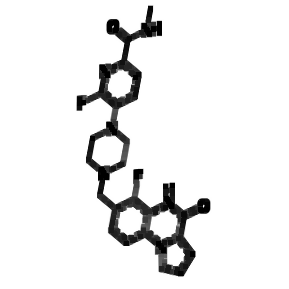 CNC(=O)c1ccc(N2CCN(Cc3ccc4c([nH]c(=O)c5cccn54)c3F)CC2)c(F)n1